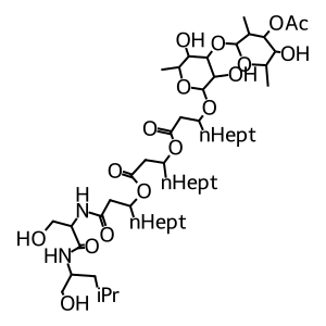 CCCCCCCC(CC(=O)NC(CO)C(=O)NC(CO)CC(C)C)OC(=O)CC(CCCCCCC)OC(=O)CC(CCCCCCC)OC1OC(C)C(O)C(OC2OC(C)C(O)C(OC(C)=O)C2C)C1O